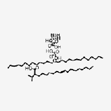 CCCCCCCCC=CCCCCCCC(C(=O)O)C(C)C.CCCCCCCCCCCCCOCCCCCCCCCCCCC.O=S(=O)(O)O.O=S(=O)(O)O.[NaH].[NaH]